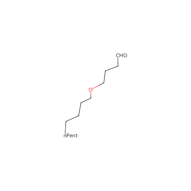 CCCC[CH]CCCCOCCCC=O